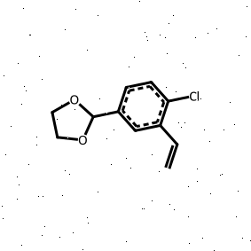 C=Cc1cc(C2OCCO2)ccc1Cl